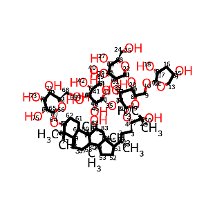 C[C@H](CC[C@@H](O[C@@H]1OC(CO[C@H]2OC[C@@H](O)C[C@H]2O)[C@@H](O[C@H]2O[C@H](CO)[C@@H](O)[C@H](O)[C@H]2O)[C@H](O)[C@H]1O[C@H]1O[C@@H](CO)[C@H](O)[C@@H](O)[C@@H]1O)C(C)(C)O)C1CC[C@@]2(C)C3CC=C4C(CC[C@H](O[C@@H]5O[C@H](CO)[C@@H](O)[C@H](O)[C@H]5O)C4(C)C)[C@]3(C)[C@H](O)C[C@]12C